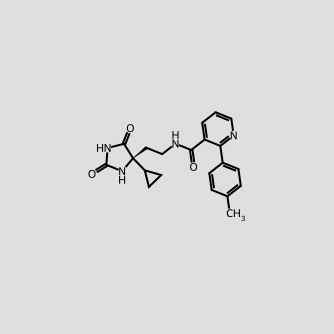 Cc1ccc(-c2ncccc2C(=O)NCC[C@@]2(C3CC3)NC(=O)NC2=O)cc1